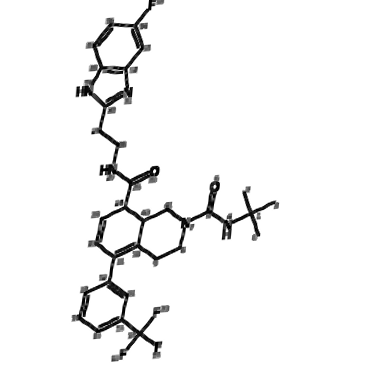 CC(C)(C)NC(=O)N1CCC2=C(c3cccc(C(F)(F)F)c3)C=CC(C(=O)NCCc3nc4cc(F)ccc4[nH]3)C2C1